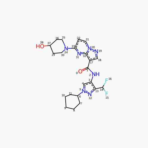 O=C(Nc1cn(C2CCCCC2)nc1C(F)F)c1cnn2ccc(N3CCC(O)CC3)nc12